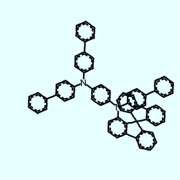 c1ccc(-c2ccc(N(c3ccc(-c4ccccc4)cc3)c3ccc(N(c4ccc(-c5ccccc5)cc4)c4cccc5c4C4(c6ccccc6-c6ccccc64)c4ccccc4-5)cc3)cc2)cc1